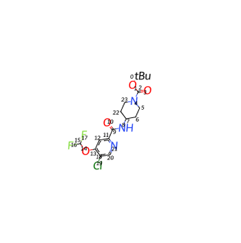 CC(C)(C)OC(=O)N1CCC(NC(=O)c2cc(OC(F)F)c(Cl)cn2)CC1